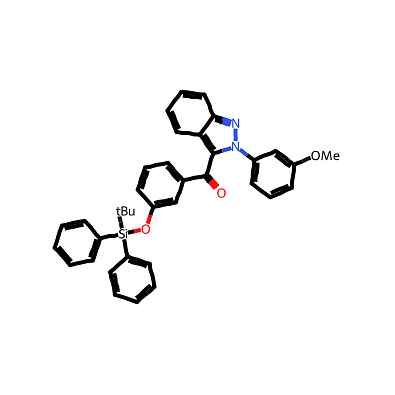 COc1cccc(-n2nc3ccccc3c2C(=O)c2cccc(O[Si](c3ccccc3)(c3ccccc3)C(C)(C)C)c2)c1